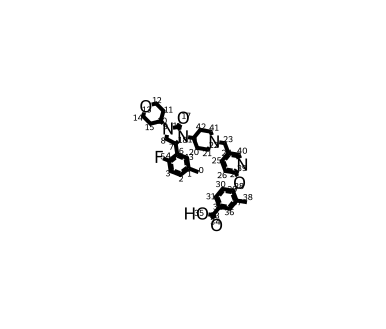 Cc1ccc(F)c(C2CN(C3CCOCC3)C(=O)N2C2CCN(Cc3ccc(Oc4ccc(C(=O)O)cc4C)nc3)CC2)c1